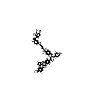 O=C1CCC(c2coc3ccc(OCCCNC(=O)c4ccc(CN(CC(=O)c5ccc(S(=O)(=O)N(Cc6ccc(Cl)cc6)C6CCCC6)cc5)CC5CCNCC5)cc4)cc23)C(=O)N1